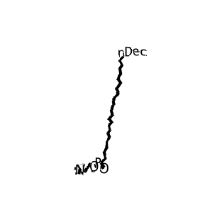 CCCCCCCCCCCCCCCCCCCCCCCCCCCCCCCCCC(=O)[P-]OCC[N+](C)(C)C